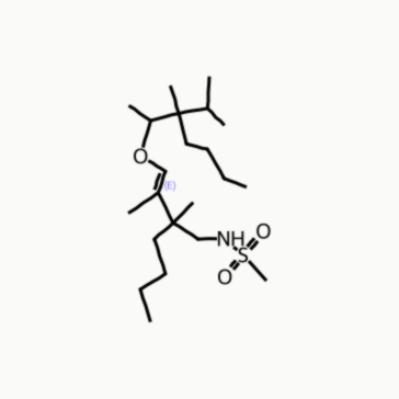 CCCCC(C)(CNS(C)(=O)=O)/C(C)=C/OC(C)C(C)(CCCC)C(C)C